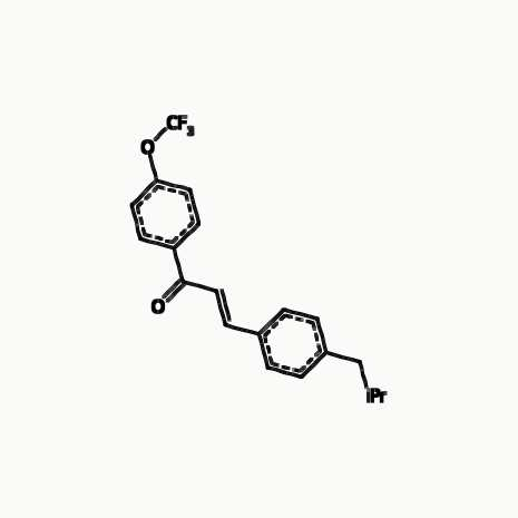 CC(C)Cc1ccc(C=CC(=O)c2ccc(OC(F)(F)F)cc2)cc1